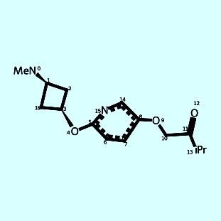 CN[C@H]1C[C@@H](Oc2ccc(OCC(=O)C(C)C)cn2)C1